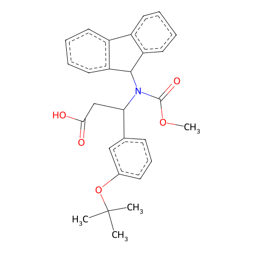 COC(=O)N(C(CC(=O)O)c1cccc(OC(C)(C)C)c1)C1c2ccccc2-c2ccccc21